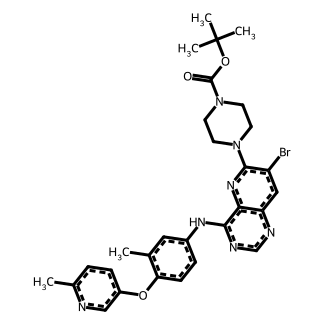 Cc1ccc(Oc2ccc(Nc3ncnc4cc(Br)c(N5CCN(C(=O)OC(C)(C)C)CC5)nc34)cc2C)cn1